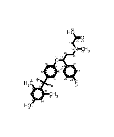 Cc1cc(C)c(C(F)(F)c2ccc(OC(CCN(C)CC(=O)O)c3ccc(F)cc3)cc2)c(C)c1